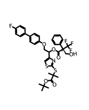 CC(C)(C)OC(=O)C(C)(C)Sc1nc(C(COc2ccc(-c3ccc(F)cc3)cc2)OC(=O)[C@](CO)(c2ccccc2)C(F)(F)F)cs1